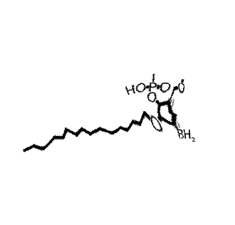 B[C@@H]1C[C@H](COC)C(OP(=O)(O)I)C1OCCCCCCCCCCCCCCCC